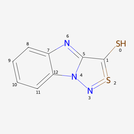 SC1=S=Nn2c1nc1ccccc12